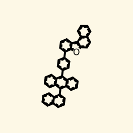 c1ccc2c(-c3c4ccccc4c(-c4ccc(-c5cccc6c5oc5ccc7ccccc7c56)cc4)c4ccccc34)cccc2c1